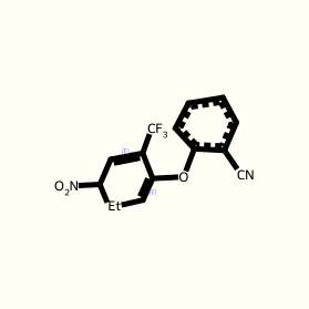 CC/C=C(Oc1ccccc1C#N)\C(=C/C(C)[N+](=O)[O-])C(F)(F)F